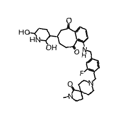 CN1CCC2(CCN(Cc3ccc(CNc4cccc5c4C(=O)CCC(C4CCC(O)NC4O)CC5=O)cc3F)CC2)C1=O